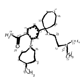 CC1CCN(c2cc(C3(OCCN(C)C)CCOCC3)ccc2C(N)=O)CC1